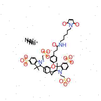 CC1(C)C(=C2CC23C(Oc2ccc(CCC(=O)NCCCCCCN4C(=O)C=CC4=O)cc2)=C2CCC3C=C2C2=[N+](CCS(=O)(=O)[O-])c3ccc(S(=O)(=O)[O-])cc3C2(C)C)N(CCS(=O)(=O)[O-])c2ccc(S(=O)(=O)[O-])cc21.[Na+].[Na+].[Na+]